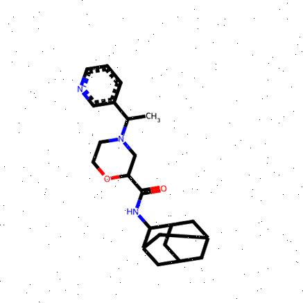 CC(c1cccnc1)N1CCOC(C(=O)NC2C3CC4CC(C3)CC2C4)C1